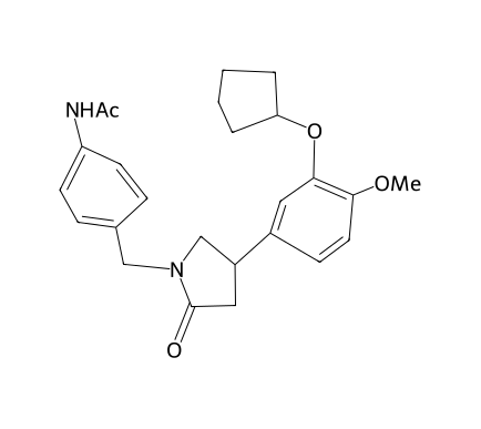 COc1ccc(C2CC(=O)N(Cc3ccc(NC(C)=O)cc3)C2)cc1OC1CCCC1